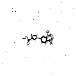 COC(=O)c1cn(-c2ccc([N+](=O)[O-])c([N+](=O)[O-])c2)cn1